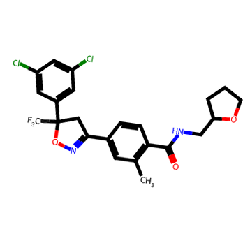 Cc1cc(C2=NOC(c3cc(Cl)cc(Cl)c3)(C(F)(F)F)C2)ccc1C(=O)NCC1CCCO1